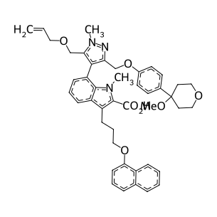 C=CCOCc1c(-c2cccc3c(CCCOc4cccc5ccccc45)c(C(=O)O)n(C)c23)c(COc2ccc(C3(OC)CCOCC3)cc2)nn1C